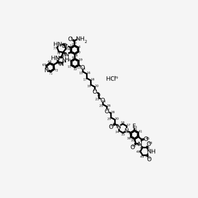 CCc1c(C(N)=O)ccc(-c2cccc(OCCCCCCOCCOCCOCCCC(=O)N3CCN(c4cc5c(cc4F)C(=O)N(C4CCC(=O)NC4=O)C5=O)CC3)c2)c1NC1(c2nnc(-c3ccncc3)[nH]2)CCNCC1.Cl